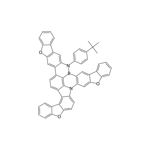 CC(C)(C)c1ccc(N2B3c4cc5c(cc4-n4c6ccc7oc8ccccc8c7c6c6ccc(c3c64)-c3cc4oc6ccccc6c4cc32)oc2ccccc25)cc1